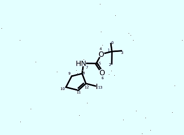 CC(C)(C)OC(=O)NC1CCC=C1I